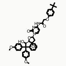 COc1ccc(C(c2ccccc2)(c2ccc(OC)cc2)C(O)[C@H]2O[C@@H](n3ccc(NC(=O)COc4ccc(C(C)(C)C)cc4)nc3=O)C[C@@H]2O)cc1